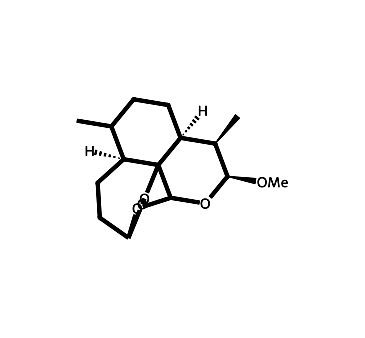 CO[C@H]1OC2OC3CC[C@H]4C(C)CC[C@@H]([C@H]1C)C24OO3